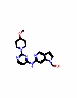 COC1CCN(c2nccc(Nc3cc4c(ccn4CO)cn3)n2)CC1